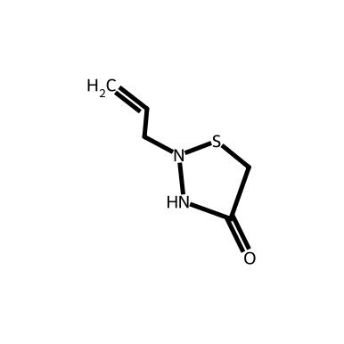 C=CCN1NC(=O)CS1